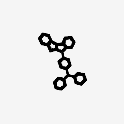 c1ccc(C(c2ccccc2)c2ccc(-n3c4ccccc4c4c5ccccc5oc43)cc2)cc1